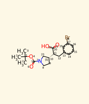 CC(C)(C)OC(=O)N1CC[C@@H](C(Cc2cccc(Br)c2)C(=O)O)C1